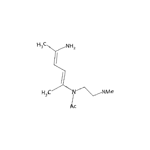 CNCCN(C(C)=O)/C(C)=C/C=C(/C)N